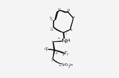 O=S(=O)(O)CC(F)(F)CNC1CCCCCC1